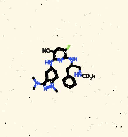 CN(C)c1nn(C)c2ccc(Nc3nc(NC(CNC(=O)O)Cc4ccccc4)c(F)cc3C#N)cc12